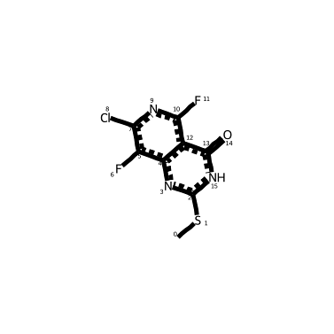 CSc1nc2c(F)c(Cl)nc(F)c2c(=O)[nH]1